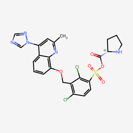 Cc1cc(-n2cncn2)c2cccc(OCc3c(Cl)ccc(S(=O)(=O)OC(=O)[C@@H]4CCCN4)c3Cl)c2n1